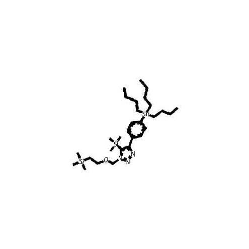 CCC[CH2][Sn]([CH2]CCC)([CH2]CCC)[c]1ccc(-c2nnn(COCC[Si](C)(C)C)c2[Si](C)(C)C)cc1